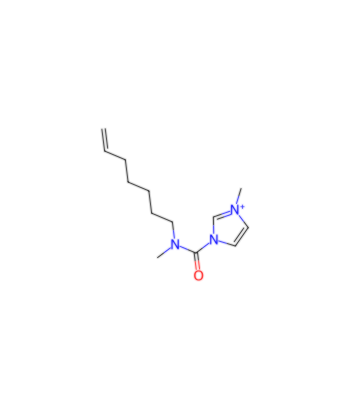 C=CCCCCCN(C)C(=O)n1cc[n+](C)c1